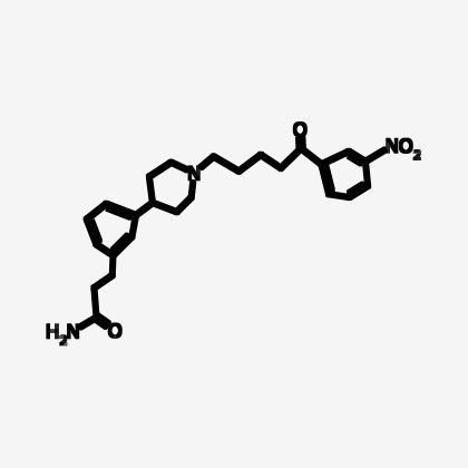 NC(=O)CCc1cccc(C2CCN(CCCCC(=O)c3cccc([N+](=O)[O-])c3)CC2)c1